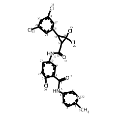 Cc1ccc(NC(=O)c2cc(NC(=O)C3C(c4cc(Cl)cc(Cl)c4)C3(Cl)Cl)ccc2Cl)cn1